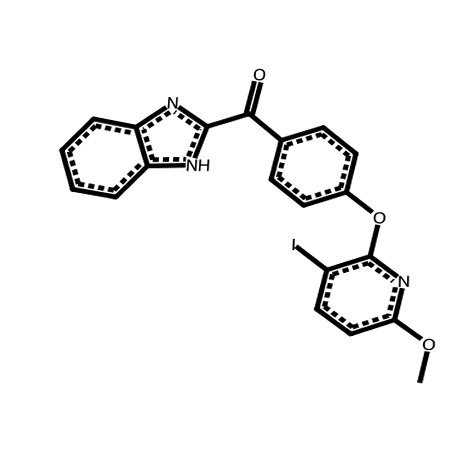 COc1ccc(I)c(Oc2ccc(C(=O)c3nc4ccccc4[nH]3)cc2)n1